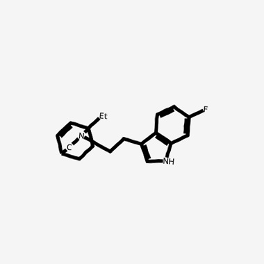 CCC12C=CC(CC1)CN2CCc1c[nH]c2cc(F)ccc12